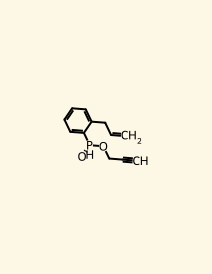 C#CCO[PH](=O)c1ccccc1CC=C